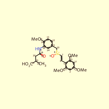 COc1cc(OC)c(C=C[S+]([O-])Cc2ccc(OC)c(NC(=O)CC(C)C(=O)O)c2)c(OC)c1